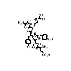 CCCC[C@H](NC(=O)[C@H](CCCNC(=N)N)NC(=O)[C@H](Cc1ccc(O)cc1)NC(=O)[C@H](Cc1ccc(O)cc1)NC(=O)[C@H](CC(=O)O)NC(=O)[C@@H](N)CCC(=O)O)C(N)=O